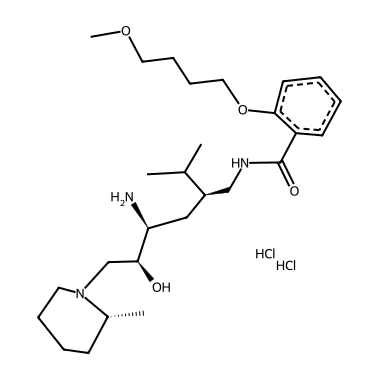 COCCCCOc1ccccc1C(=O)NC[C@@H](C[C@H](N)[C@@H](O)CN1CCCC[C@H]1C)C(C)C.Cl.Cl